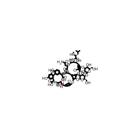 CN[C@H](CC(C)C)C(=O)NC1C(=O)NC(CC(N)=O)C(=O)NC2C(=O)N[C@H]3C(=O)N[C@H](C(=O)NC(C(=O)O)c4cc(O)cc(O)c4-c4cc3ccc4O)[C@H](O)c3ccc(c(Cl)c3)Oc3cc2cc(c3O[C@@H]2O[C@H](CO)C(OC3O[C@H](CO)[C@H](O)[C@H](O)C3O)[C@H](O)C2O)Oc2ccc(cc2Cl)C1O